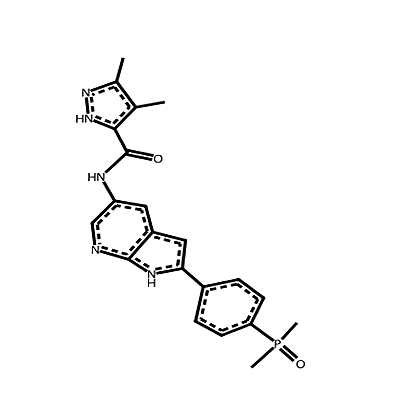 Cc1n[nH]c(C(=O)Nc2cnc3[nH]c(-c4ccc(P(C)(C)=O)cc4)cc3c2)c1C